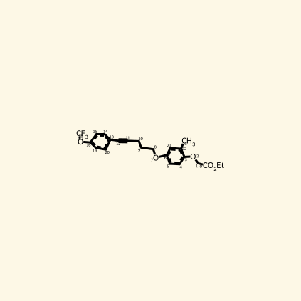 CCOC(=O)COc1ccc(OCCCC#Cc2ccc(OC(F)(F)F)cc2)cc1C